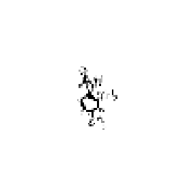 Cc1ccc(NC=O)c(C)c1